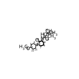 COC1CCC(n2cccc(NC(=O)OC(C)(C)C)c2=O)CC1